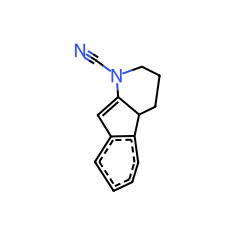 N#CN1CCCC2C1=Cc1ccccc12